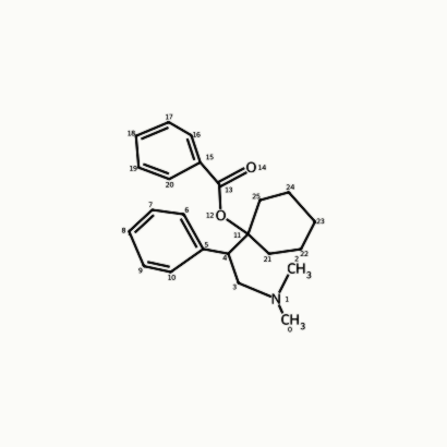 CN(C)CC(c1cc[c]cc1)C1(OC(=O)c2ccccc2)CCCCC1